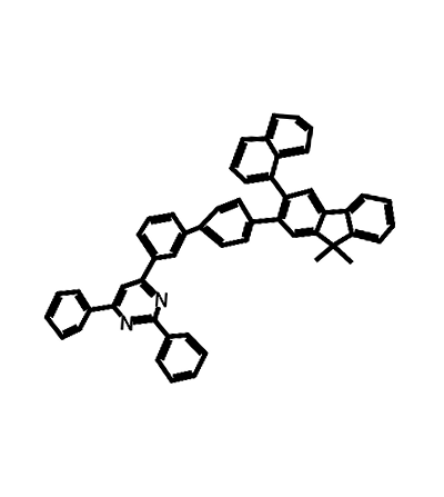 CC1(C)c2ccccc2-c2cc(-c3cccc4ccccc34)c(-c3ccc(-c4cccc(-c5cc(-c6ccccc6)nc(-c6ccccc6)n5)c4)cc3)cc21